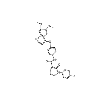 COc1cc2ncnc(Oc3ccc(NC(=O)c4cccn(-c5ccc(F)cc5)c4=O)cc3)c2cc1OC